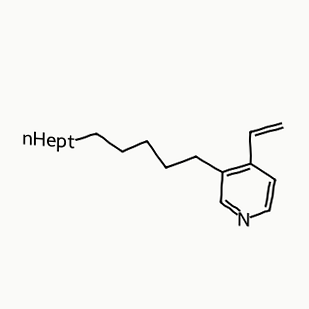 C=Cc1ccncc1CCCCCCCCCCCC